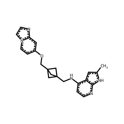 Cc1cc2c(NCC34CC(COc5ccn6ccnc6c5)(C3)C4)ccnc2[nH]1